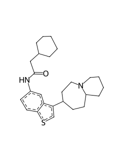 O=C(CC1CCCCC1)Nc1ccc2scc(C3CCC4CCCCN4CC3)c2c1